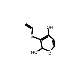 C=CSC1=C(O)C=CNC1O